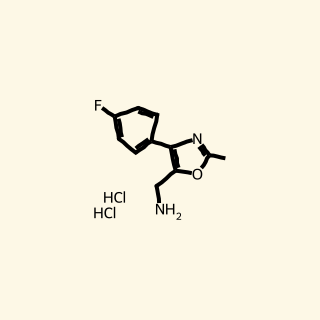 Cc1nc(-c2ccc(F)cc2)c(CN)o1.Cl.Cl